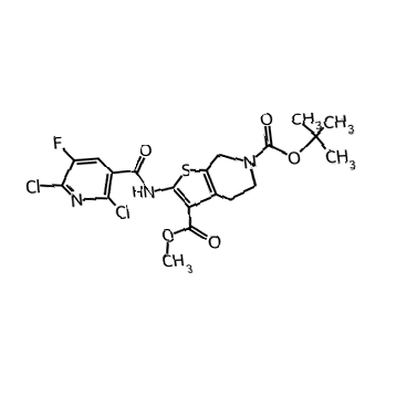 COC(=O)c1c(NC(=O)c2cc(F)c(Cl)nc2Cl)sc2c1CCN(C(=O)OC(C)(C)C)C2